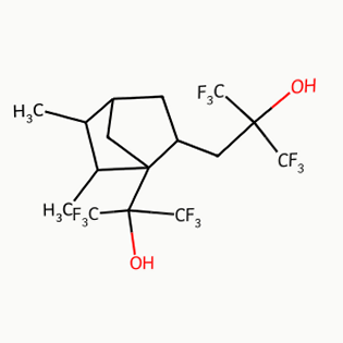 CC1C2CC(CC(O)(C(F)(F)F)C(F)(F)F)C(C(O)(C(F)(F)F)C(F)(F)F)(C2)C1C